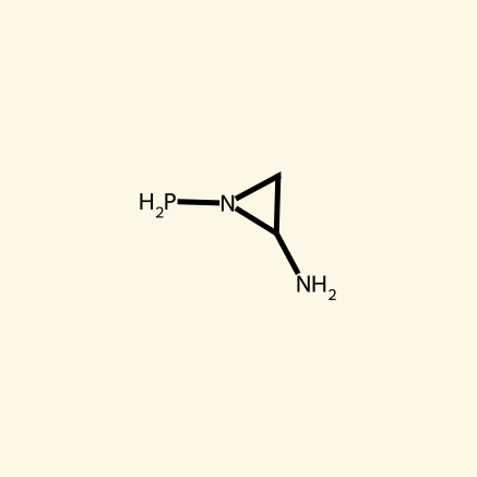 NC1CN1P